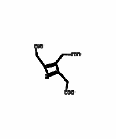 O=C([O-])C[C]1=[Bi][C](CC(=O)[O-])=C1CC(=O)[O-]